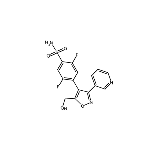 NS(=O)(=O)c1cc(F)c(-c2c(-c3cccnc3)noc2CO)cc1F